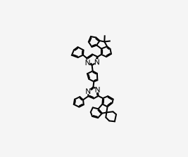 CC1(C)c2ccccc2-c2c(-c3cc(-c4ccccc4)nc(-c4ccc(-c5nc(-c6ccccc6)cc(-c6cccc7c6C6=C(C=CCC6)C76CCCCC6)n5)cc4)n3)cccc21